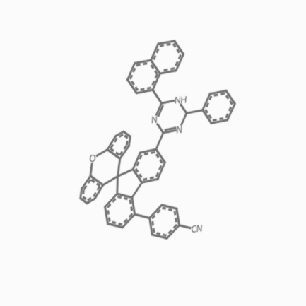 N#Cc1ccc(-c2cccc3c2-c2ccc(C4=NC(c5ccccc5)NC(c5cccc6ccccc56)=N4)cc2C32c3ccccc3Oc3ccccc32)cc1